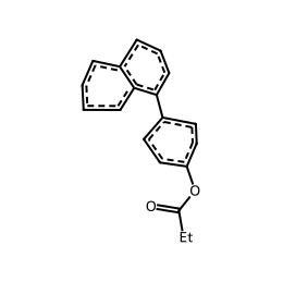 CCC(=O)Oc1ccc(-c2cccc3ccccc23)cc1